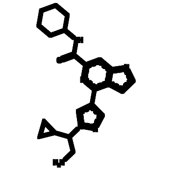 NCC(C1CC1)n1cc(-c2nc(C(=O)NC3CCCCC3)cc3nccn23)cn1